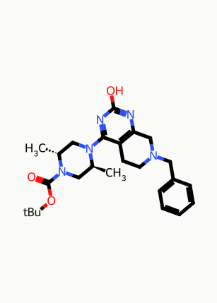 C[C@@H]1CN(c2nc(O)nc3c2CCN(Cc2ccccc2)C3)[C@@H](C)CN1C(=O)OC(C)(C)C